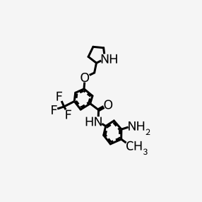 Cc1ccc(NC(=O)c2cc(OCC3CCCN3)cc(C(F)(F)F)c2)cc1N